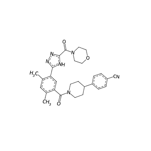 Cc1cc(C)c(-c2nnc(C(=O)N3CCOCC3)[nH]2)cc1C(=O)N1CCC(c2ccc(C#N)cc2)CC1